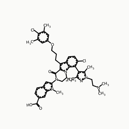 Cc1cc(OCCCc2c3n(c4c(-c5c(C)nn(CCN(C)C)c5C)c(Cl)ccc24)[C@H](C)CN(c2cc4ccc(C(=O)O)cc4n2C)C3=O)cc(C)c1Cl